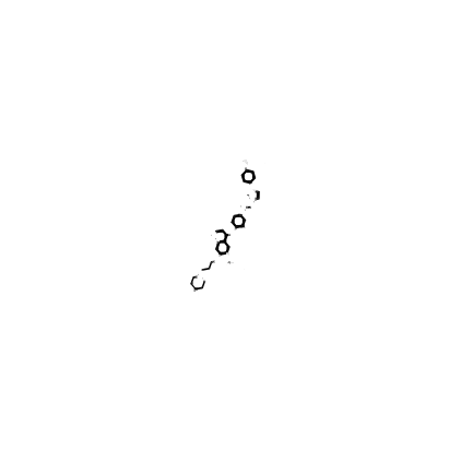 COc1ccc(N2C=CN(C(=O)Nc3ccc(Oc4ccnc5cc(OCCCN6CCC(C)CC6)c(OC)cc45)c(F)c3)C2)cc1